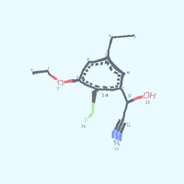 CCOc1cc(CC)cc(C(O)C#N)c1F